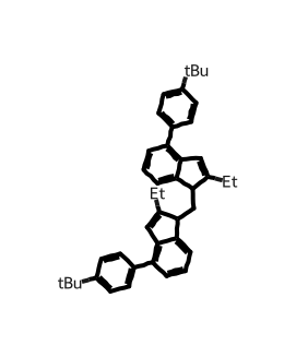 CCC1=Cc2c(-c3ccc(C(C)(C)C)cc3)cccc2C1CC1C(CC)=Cc2c(-c3ccc(C(C)(C)C)cc3)cccc21